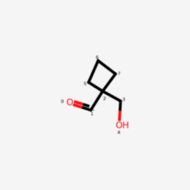 O=[C]C1(CO)CCC1